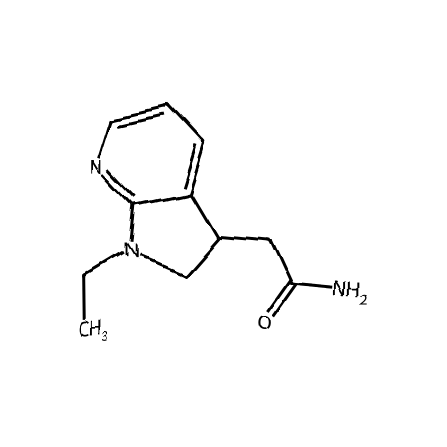 CCN1CC(CC(N)=O)c2cccnc21